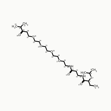 CCC(SC(C)C)C(=O)NCCC(=O)NCCOCCOCCOCCOCCC(=O)C(C)C